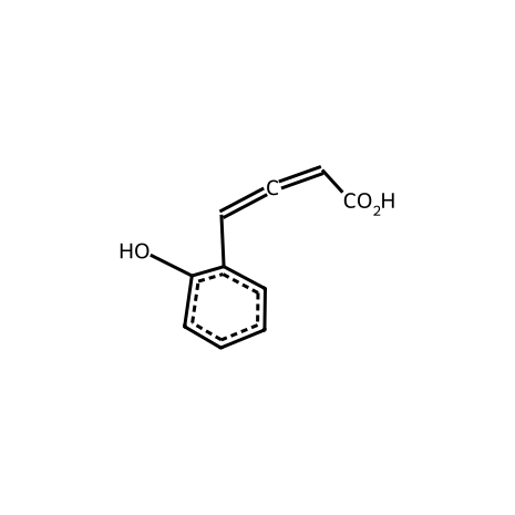 O=C(O)C=C=Cc1ccccc1O